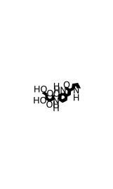 O=c1[nH]c2cc(N[C@@H]3C(O)OC(CO)[C@@H](O)C3O)ccc2cc1-c1ccc[nH]1